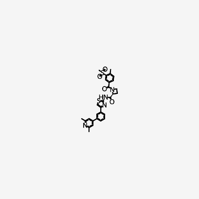 Cc1cc(-c2cccc(-c3csc(NC(=O)[C@@H]4CCN4C(=O)c4ccc(C)c(S(C)(=O)=O)c4)n3)c2)cc(C)n1